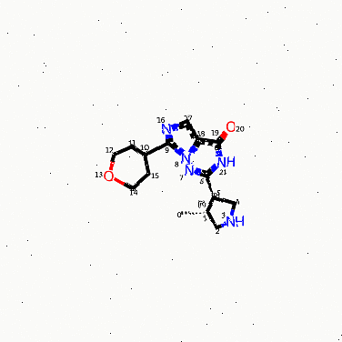 C[C@H]1CNC[C@@H]1c1nn2c(C3CCOCC3)ncc2c(=O)[nH]1